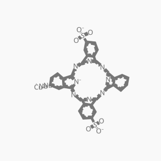 O=S(=O)([O-])c1ccc2c(c1)-c1nc-2nc2[n-]c(nc3nc(nc4[n-]c(n1)c1ccccc41)-c1ccc(S(=O)(=O)[O-])cc1-3)c1ccccc21.[Cu+2].[Na+].[Na+]